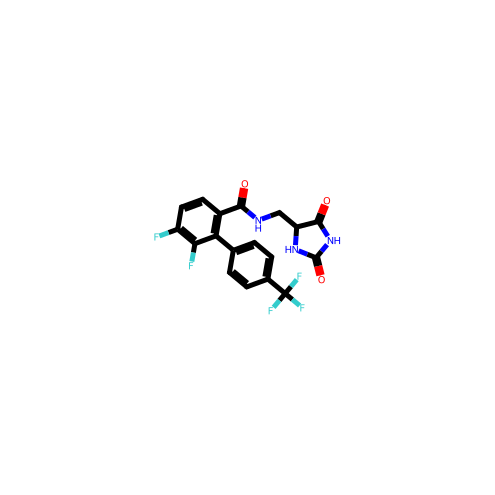 O=C1NC(=O)C(CNC(=O)c2ccc(F)c(F)c2-c2ccc(C(F)(F)F)cc2)N1